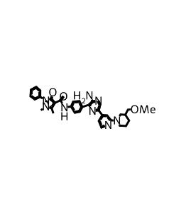 COCC1CCCN(c2cc(-c3cnc(N)c(-c4ccc(NC(=O)c5c(C)n(C)n(-c6ccccc6)c5=O)cc4)n3)ccn2)C1